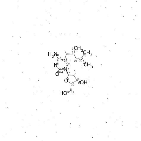 CC(=Cc1cn([C@H]2CC(O)[C@@H](CO)O2)c(=O)nc1N)CC(C)C